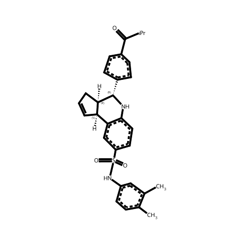 Cc1ccc(NS(=O)(=O)c2ccc3c(c2)[C@H]2C=CC[C@H]2[C@H](c2ccc(C(=O)C(C)C)cc2)N3)cc1C